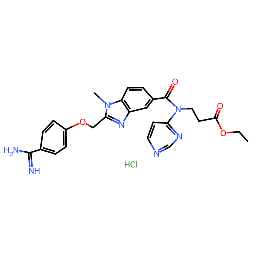 CCOC(=O)CCN(C(=O)c1ccc2c(c1)nc(COc1ccc(C(=N)N)cc1)n2C)c1ccncn1.Cl